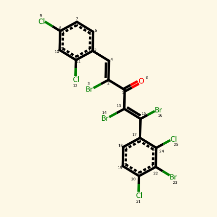 O=C(C(Br)=Cc1ccc(Cl)cc1Cl)C(Br)=C(Br)c1ccc(Cl)c(Br)c1Cl